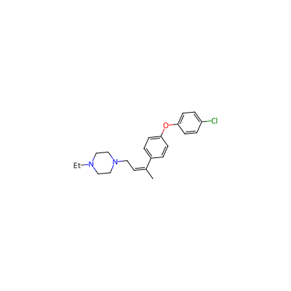 CCN1CCN(CC=C(C)c2ccc(Oc3ccc(Cl)cc3)cc2)CC1